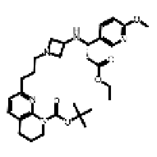 CCOC(=O)C[C@H](NC1CN(CCCc2ccc3c(n2)N(C(=O)OC(C)(C)C)CCC3)C1)c1ccc(OC)nc1